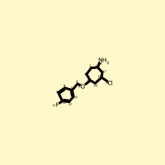 NC1CCC(OCc2ccc(F)cc2)CC(Cl)C1